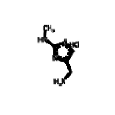 CNc1nc(CN)cs1.Cl